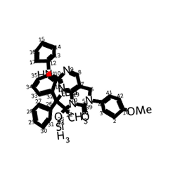 COc1ccc(N2Cc3cnc(Nc4ccccc4)nc3N(C(C)(O[SiH3])C(c3ccccc3)(c3ccccc3)C(C)(C)C)C2=O)cc1